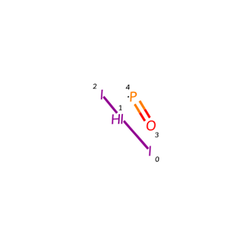 I[IH]I.O=[P]